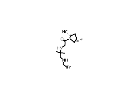 CC(C)CNCC(C)(C)NCC(=O)N1C[C@@H](F)C[C@H]1C#N